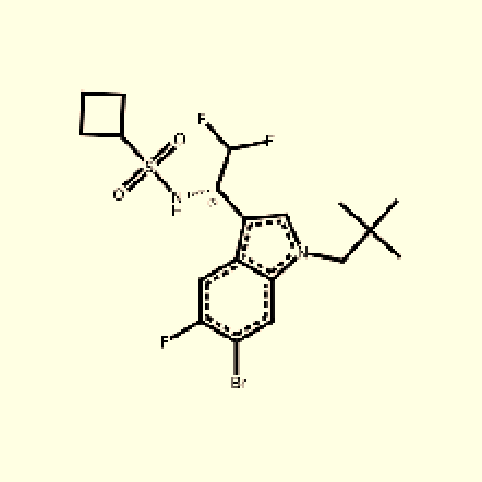 CC(C)(C)Cn1cc([C@H](NS(=O)(=O)C2CCC2)C(F)F)c2cc(F)c(Br)cc21